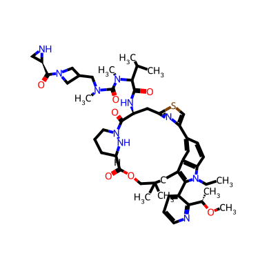 CCn1c(-c2cccnc2[C@H](C)OC)c2c3cc(ccc31)-c1csc(n1)C[C@H](NC(=O)C(C(C)C)N(C)C(=O)N(C)CC1CN(C(=O)[C@H]3CN3)C1)C(=O)N1CCC[C@H](N1)C(=O)OCC(C)(C)C2